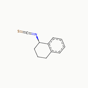 S=C=N[C@@H]1CCCc2ccccc21